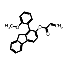 C=CC(=O)Oc1ccc2c(c1-c1ccccc1OC)Cc1ccccc1-2